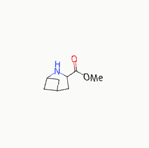 COC(=O)C1CC2CC(C2)N1